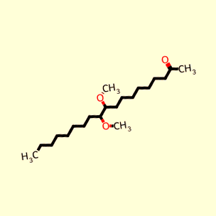 CCCCCCCCC(OC)C(CCCCCCCC(C)=O)OC